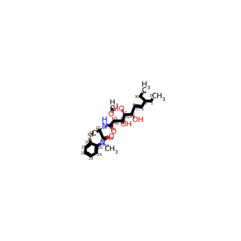 CCC(/C=C/[C@@H](O)[C@H](O)[C@@H](O)[C@@H](OC)C(=O)N[C@H]1CSc2ccccc2N(C)C1=O)CC